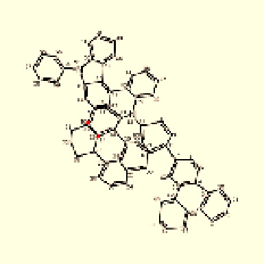 c1ccc(-c2ccc(-c3ccc(N(c4ccccc4-c4cccc5cccc(C6CCCCC6)c45)c4ccccc4-c4cccc5c4c4ccccc4n5-c4ccccc4)cc3)cc2-c2ccccc2)cc1